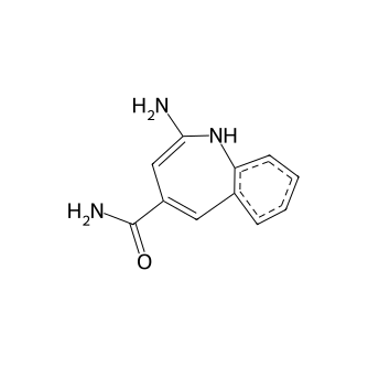 NC(=O)C1=Cc2ccccc2NC(N)=C1